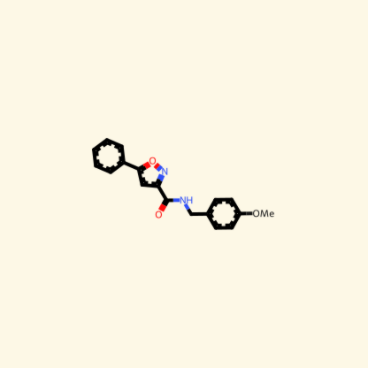 COc1ccc(CNC(=O)c2cc(-c3ccccc3)on2)cc1